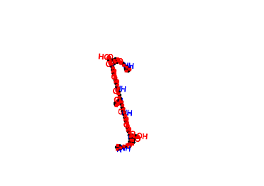 CC(C)(C)OC(=O)N(CCCCCC(=O)NCCCOCCOCCOCCCN1Cc2cc(OCCCNc3ccccn3)ccc2CC(CC(=O)O)C1=O)CCCCCC(=O)NCCCOCCOCCOCCCN1Cc2cc(OCCCNc3ccccn3)ccc2CC(CC(=O)O)C1=O